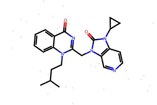 CC(C)CCn1c(Cn2c(=O)n(C3CC3)c3ccncc32)nc(=O)c2ccccc21